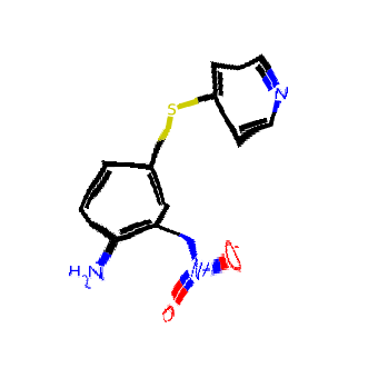 Nc1ccc(Sc2ccncc2)cc1[N+](=O)[O-]